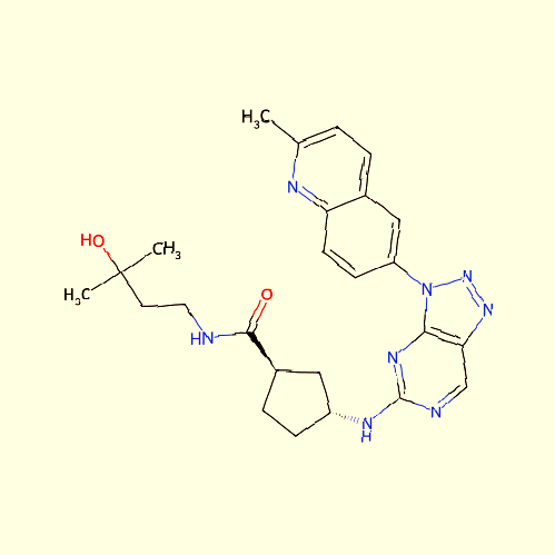 Cc1ccc2cc(-n3nnc4cnc(N[C@@H]5CC[C@@H](C(=O)NCCC(C)(C)O)C5)nc43)ccc2n1